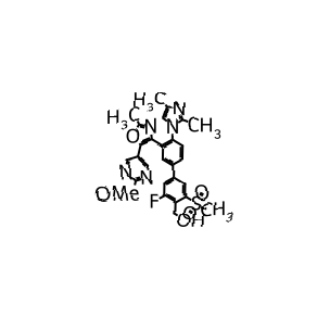 COc1ncc(-c2oc(C)nc2-c2cc(-c3cc(F)c(CO)c(S(C)(=O)=O)c3)ccc2-n2cc(C)nc2C)cn1